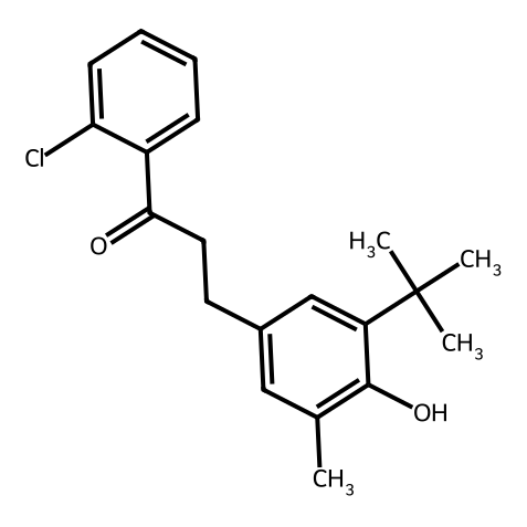 Cc1cc(CCC(=O)c2ccccc2Cl)cc(C(C)(C)C)c1O